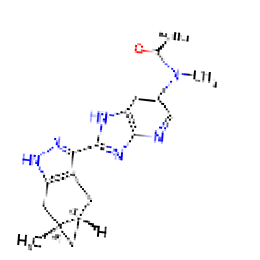 CC[C@H](C)C(=O)N(C)c1cnc2nc(-c3n[nH]c4c3C[C@@H]3C[C@]3(C)C4)[nH]c2c1